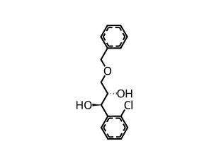 O[C@H](c1ccccc1Cl)[C@@H](O)COCc1ccccc1